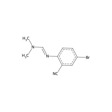 CN(C)/C=N/c1ccc(Br)cc1C#N